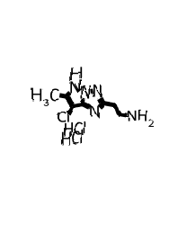 Cc1[nH]n2nc(CCN)nc2c1Cl.Cl.Cl